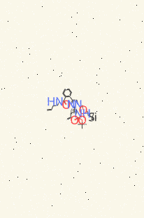 C=CCCNC(=O)c1ccccc1-c1cn(COCC[Si](C)(C)C)c([C@H](CC=C)NC(=O)OC(C)(C)C)n1